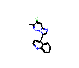 Cc1nn2c(-c3ccnc4ccccc34)cnc2cc1Cl